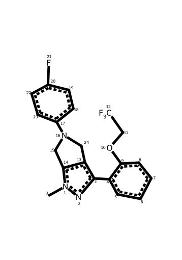 Cn1nc(-c2ccccc2OCC(F)(F)F)c2c1CN(c1ccc(F)cc1)C2